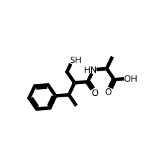 CC(NC(=O)C(CS)C(C)c1ccccc1)C(=O)O